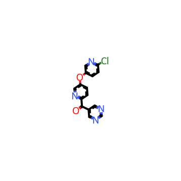 O=C(c1cncnc1)c1ccc(Oc2ccc(Cl)nc2)cn1